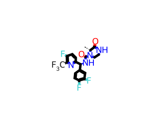 C[C@@H]1C(=O)NCCN1C(=O)N[C@@H](c1ccc(F)c(F)c1)c1ccc(F)c(C(F)(F)F)n1